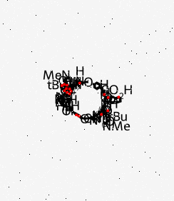 CN[C@@H](C)C(=O)N[C@H](C(=O)N1C[C@@H]2C[C@H]1C(=O)N[C@@H](Cc1ccc3ccccc3c1)C(=O)N[C@H](C(=O)O)Cc1ccc(cc1)OCC1=CN(NN1)[C@H]1C[C@@H](C(=O)N[C@@H](Cc3ccc4ccccc4c3)C(=O)N[C@H](C(=O)NCc3nnn[nH]3)Cc3ccc(cc3)OCc3cn2nn3)N(C(=O)[C@@H](NC(=O)[C@H](C)NC)C(C)(C)C)C1)C(C)(C)C